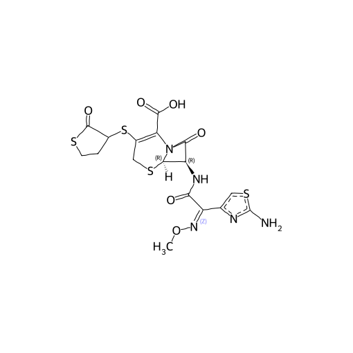 CO/N=C(\C(=O)N[C@@H]1C(=O)N2C(C(=O)O)=C(SC3CCSC3=O)CS[C@H]12)c1csc(N)n1